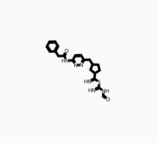 N=C(NC=O)SC(=N)C1CCC(Cc2ccc(NC(=O)Cc3ccccc3)nn2)C1